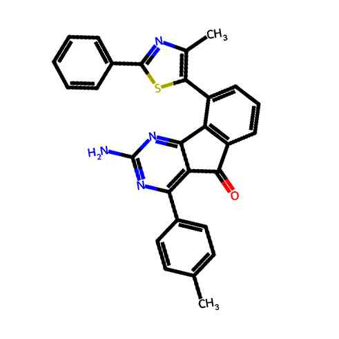 Cc1ccc(-c2nc(N)nc3c2C(=O)c2cccc(-c4sc(-c5ccccc5)nc4C)c2-3)cc1